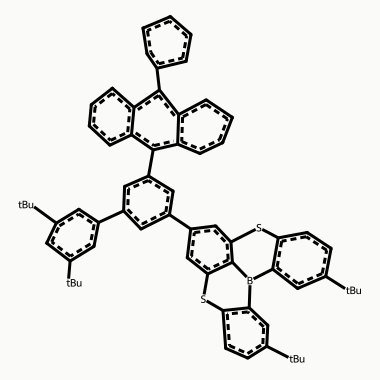 CC(C)(C)c1cc(-c2cc(-c3cc4c5c(c3)Sc3ccc(C(C)(C)C)cc3B5c3cc(C(C)(C)C)ccc3S4)cc(-c3c4ccccc4c(-c4ccccc4)c4ccccc34)c2)cc(C(C)(C)C)c1